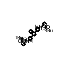 CC(C)(C)OC(=O)N1CCCC1C(=O)Nc1ccc(-c2ccc(-c3ccc(NC(=O)C4CCCN4C(=O)OC(C)(C)C)cc3)c3c2C2CCC3C2)cc1